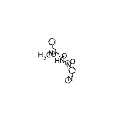 C=NO/C(=C\CC(=O)NC1CC(=O)N(C2C=CC=C(CN3CCCCC3)C=C2)C1)CCC1=CC=CCC=C1